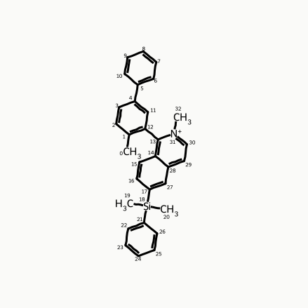 Cc1ccc(-c2ccccc2)cc1-c1c2ccc([Si](C)(C)c3ccccc3)cc2cc[n+]1C